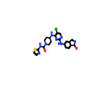 O=C1N=Cc2cc(Nc3ncc(Cl)c(NC4CCN(C(=O)Nc5nccs5)CC4)n3)ccc21